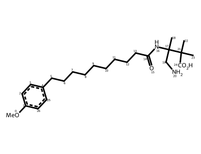 COc1ccc(CCCCCCCCCC(=O)NC(C)(CN)C(C)(C)C(=O)O)cc1